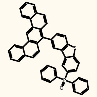 O=P(c1ccccc1)(c1ccccc1)c1ccc2sc3ccc(-c4c5ccc6ccccc6c5cc5c4ccc4ccccc45)cc3c2c1